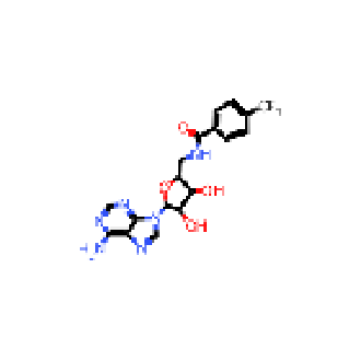 Nc1ncnc2c1ncn2C1OC(CNC(=O)c2ccc(C(F)(F)F)cc2)C(O)C1O